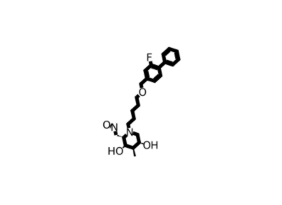 C[C@H]1[C@H](O)[C@H](CN=O)N(CCCCCOCc2ccc(-c3ccccc3)c(F)c2)C[C@@H]1O